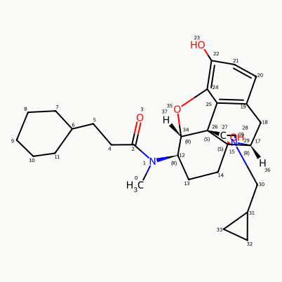 CN(C(=O)CCC1CCCCC1)[C@@H]1CC[C@@]2(O)[C@H]3Cc4ccc(O)c5c4[C@@]2(CCN3CC2CC2)[C@H]1O5